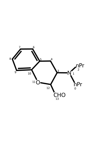 CCCN(CCC)C1Cc2ccccc2OC1C=O